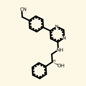 N#CCc1ccc(-c2cc(NC[C@H](O)c3ccccc3)ncn2)cc1